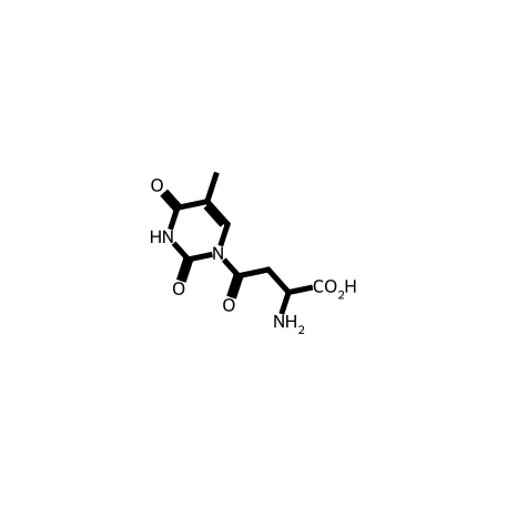 Cc1cn(C(=O)CC(N)C(=O)O)c(=O)[nH]c1=O